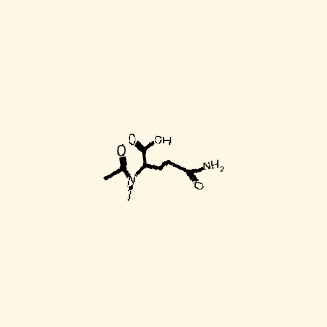 CC(=O)N(I)C(CCC(N)=O)C(=O)O